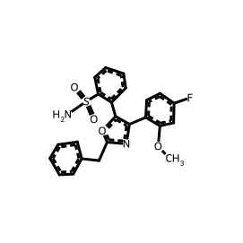 COc1cc(F)ccc1-c1nc(Cc2ccccc2)oc1-c1ccccc1S(N)(=O)=O